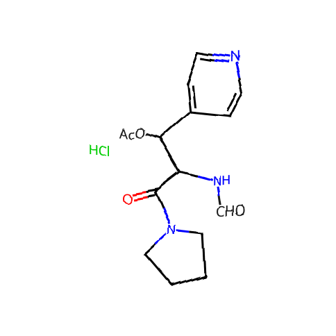 CC(=O)OC(c1ccncc1)C(NC=O)C(=O)N1CCCC1.Cl